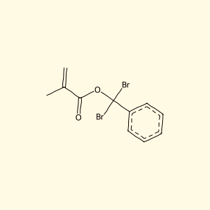 C=C(C)C(=O)OC(Br)(Br)c1ccccc1